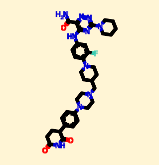 NC(=O)c1nnc(N2CCCCC2)nc1Nc1ccc(N2CCC(CN3CCN(c4ccc(C5CCC(=O)NC5=O)cc4)CC3)CC2)c(F)c1